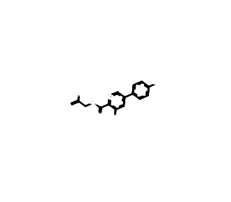 C=C(O)CNC(=O)c1ncc(-c2ccc(Cl)cc2)cc1O